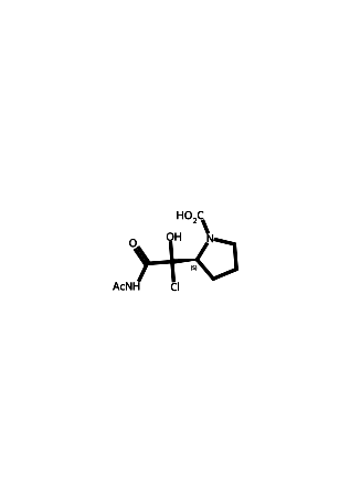 CC(=O)NC(=O)C(O)(Cl)[C@@H]1CCCN1C(=O)O